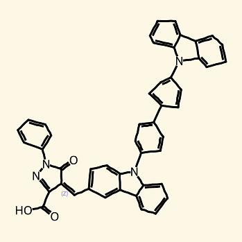 O=C(O)C1=NN(c2ccccc2)C(=O)/C1=C\c1ccc2c(c1)c1ccccc1n2-c1ccc(-c2ccc(-n3c4ccccc4c4ccccc43)cc2)cc1